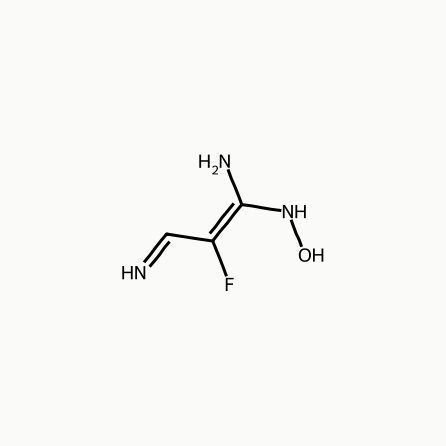 N=C/C(F)=C(\N)NO